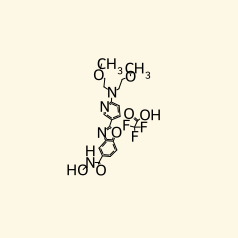 COCCN(CCOC)c1ccc(-c2nc3cc(C(=O)NO)ccc3o2)cn1.O=C(O)C(F)(F)F